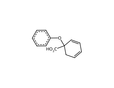 O=C(O)C1(Oc2ccccc2)C=CC=CC1